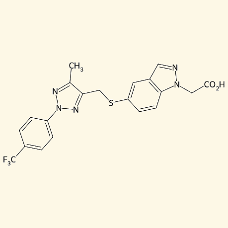 Cc1nn(-c2ccc(C(F)(F)F)cc2)nc1CSc1ccc2c(cnn2CC(=O)O)c1